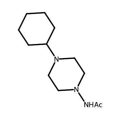 CC(=O)NN1CCN(C2CCCCC2)CC1